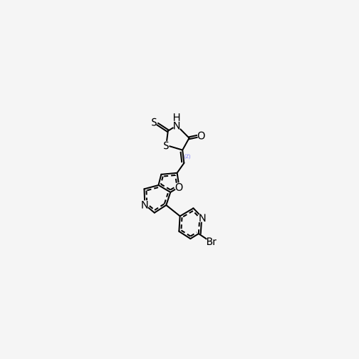 O=C1NC(=S)S/C1=C\c1cc2cncc(-c3ccc(Br)nc3)c2o1